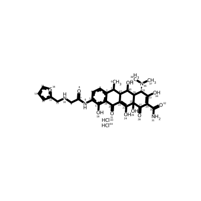 CC1c2ccc(NC(=O)CNCc3cccs3)c(O)c2C(=O)C2=C(O)C3(O)C(=O)C(C(N)=O)=C(O)[C@@H](N(C)C)C3C(O)C21.Cl.Cl